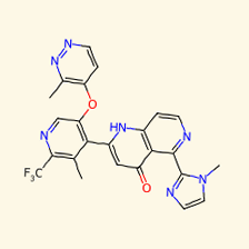 Cc1nnccc1Oc1cnc(C(F)(F)F)c(C)c1-c1cc(=O)c2c(-c3nccn3C)nccc2[nH]1